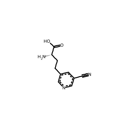 N#Cc1cncc(CC[C@H](N)C(=O)O)c1